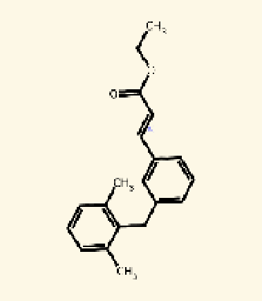 CCOC(=O)/C=C/c1cccc(Cc2c(C)cccc2C)c1